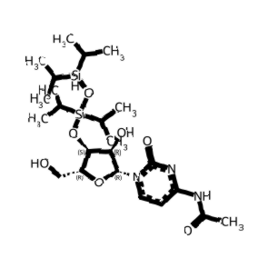 CC(=O)Nc1ccn([C@@H]2O[C@H](CO)[C@@H](O[Si](O[SiH](C(C)C)C(C)C)(C(C)C)C(C)C)[C@H]2O)c(=O)n1